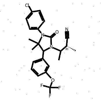 CC([C@@H](C)C#N)N1C(=O)N(c2ccc(Cl)cc2)C(C)(C)C1c1cccc(OC(F)(F)F)c1